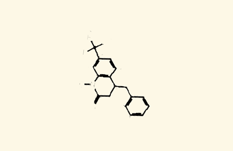 CN1C(=O)CC(Cc2ccccc2)c2ccc(C(F)(F)F)cc21